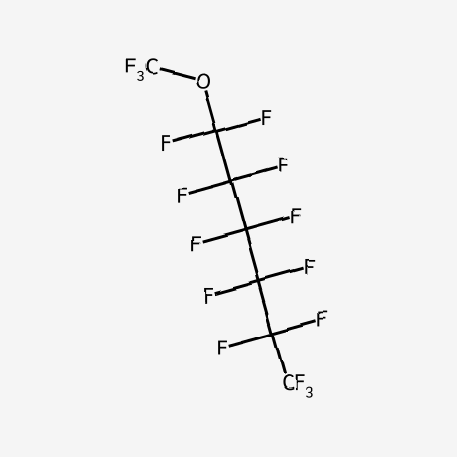 FC(F)(F)OC(F)(F)C(F)(F)C(F)(F)C(F)(F)C(F)(F)C(F)(F)F